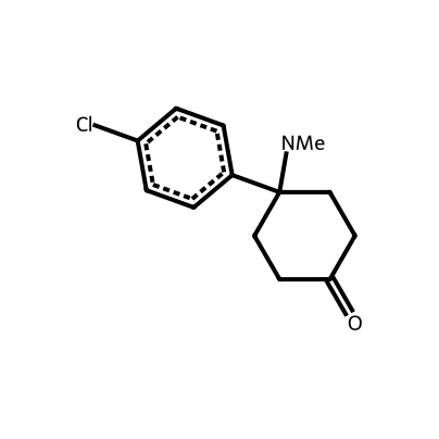 CNC1(c2ccc(Cl)cc2)CCC(=O)CC1